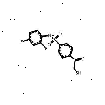 O=C(CS)c1ccc(S(=O)(=O)Nc2ccc(F)cc2F)cc1